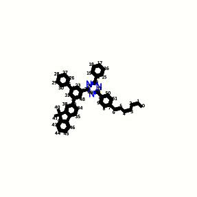 C\C=C/C=C\C=C\c1ccc(-c2nc(-c3ccccc3)nc(-c3cc(-c4ccccc4)cc(-c4ccc5c(c4)C(C)(C)c4ccccc4-5)c3)n2)cc1